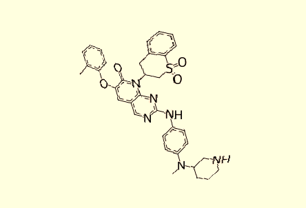 Cc1ccccc1Oc1cc2cnc(Nc3ccc(N(C)C4CCCNC4)cc3)nc2n(C2Cc3ccccc3S(=O)(=O)C2)c1=O